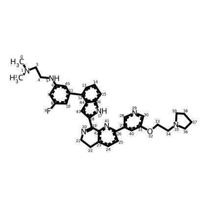 CN(C)CCNc1cc(F)cc(-c2cccc3[nH]c(C4=NCCc5ccc(-c6cncc(OCCN7CCCC7)c6)nc54)cc23)c1